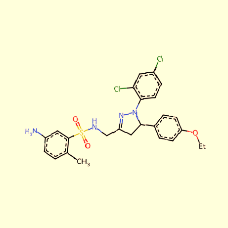 CCOc1ccc(C2CC(CNS(=O)(=O)c3cc(N)ccc3C)=NN2c2ccc(Cl)cc2Cl)cc1